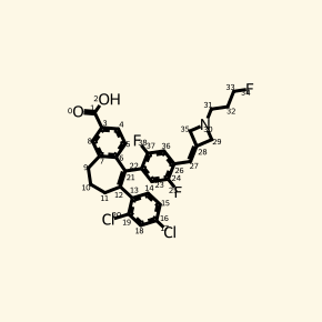 O=C(O)c1ccc2c(c1)CCCC(c1ccc(Cl)cc1Cl)=C2c1cc(F)c(C=C2CN(CCCF)C2)cc1F